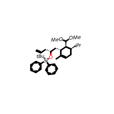 C=CC[C@H](C[C@H]1C(C)=CC[C@H](C(C)C)[C@@H]1C(OC)OC)O[Si](c1ccccc1)(c1ccccc1)C(C)(C)C